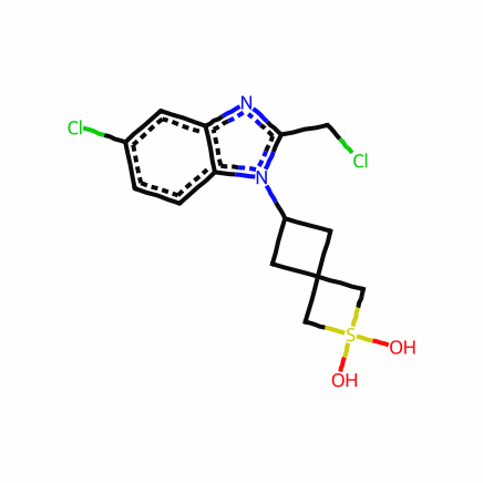 OS1(O)CC2(CC(n3c(CCl)nc4cc(Cl)ccc43)C2)C1